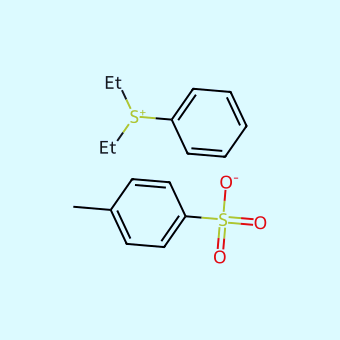 CC[S+](CC)c1ccccc1.Cc1ccc(S(=O)(=O)[O-])cc1